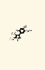 CSc1cc(-c2nn(C)c(C(F)(F)F)c2C(F)(F)F)c(Cl)cc1Cl